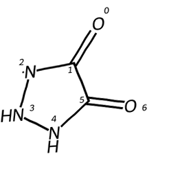 O=C1[N]NNC1=O